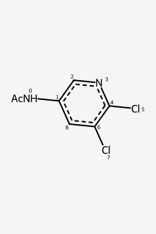 CC(=O)Nc1cnc(Cl)c(Cl)c1